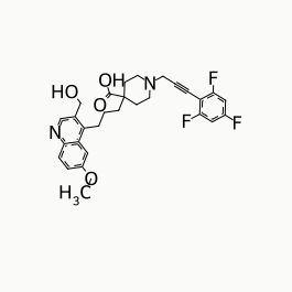 COc1ccc2ncc(CO)c(CCCC3(C(=O)O)CCN(CC#Cc4c(F)cc(F)cc4F)CC3)c2c1